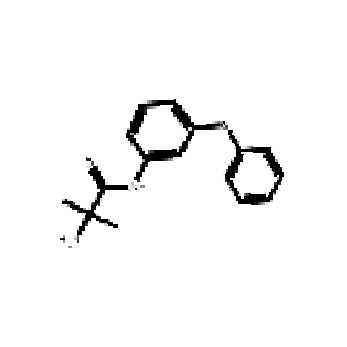 CC(C)(N)C(=O)Nc1cccc(Sc2ccccc2)c1